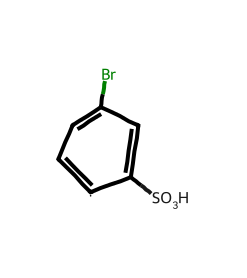 O=S(=O)(O)c1[c]ccc(Br)c1